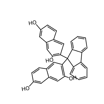 Oc1ccc2cc(C3(c4cc5ccc(O)cc5cc4O)c4ccccc4-c4ccccc43)c(O)cc2c1